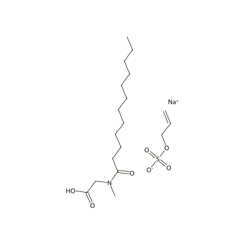 C=CCOS(=O)(=O)[O-].CCCCCCCCCCCC(=O)N(C)CC(=O)O.[Na+]